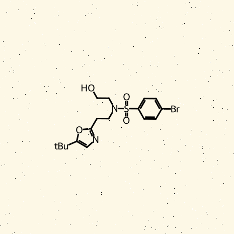 CC(C)(C)c1cnc(CCN(CCO)S(=O)(=O)c2ccc(Br)cc2)o1